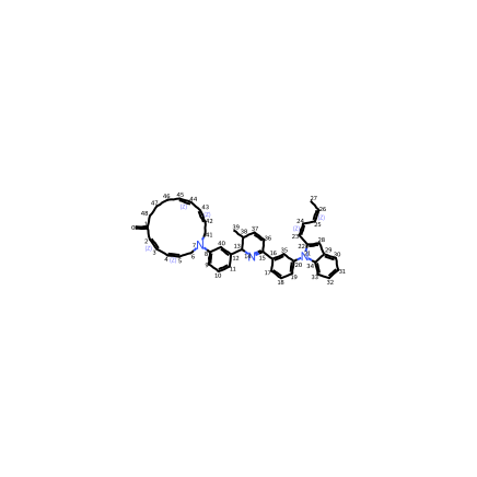 C=C1/C=C\C=C/CN(c2cccc(C3N=C(c4cccc(-n5c(/C=C\C=C/C)cc6ccccc65)c4)C=CC3C)c2)C/C=C\C=C/CCC1